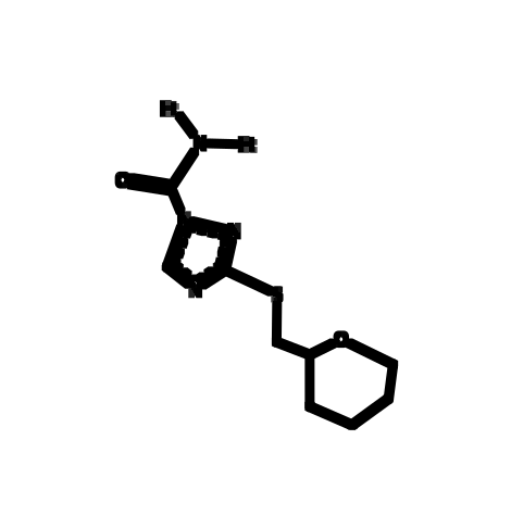 CCN(CC)C(=O)n1cnc(SCC2CCCCO2)n1